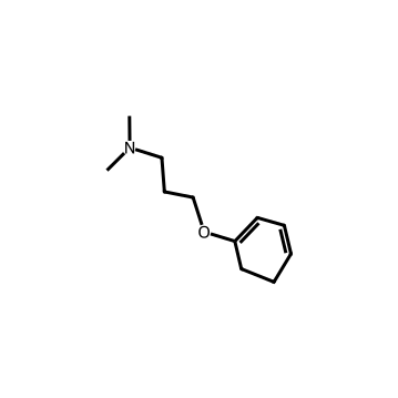 CN(C)CCCOC1=CC=CCC1